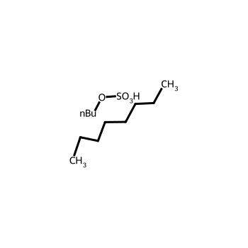 CCCCCCCC.CCCCOS(=O)(=O)O